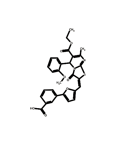 CCOC(=O)C1=C(C)N=c2s/c(=C/c3ccc(-c4cccc(C(=O)O)c4)o3)c(=O)n2C1c1ccccc1OC